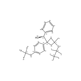 CC1(O[Si](C)(C)C(C)(C)C)CC(c2ccc(OC(F)(F)F)cc2)([C@@H](O)c2ncccn2)C1